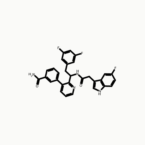 NC(=O)c1cccc(-c2cccnc2C(Cc2cc(F)cc(F)c2)NC(=O)Cc2c[nH]c3ccc(F)cc23)c1